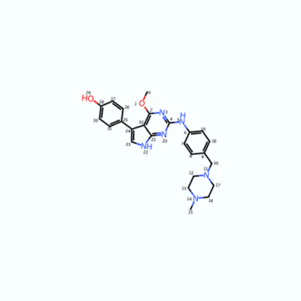 COc1nc(Nc2ccc(CN3CCN(C)CC3)cc2)nc2[nH]cc(-c3ccc(O)cc3)c12